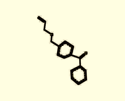 C=CCOCc1ccc(C(=O)c2ccccc2)cc1